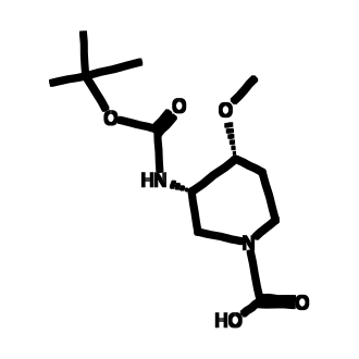 CO[C@@H]1CCN(C(=O)O)C[C@@H]1NC(=O)OC(C)(C)C